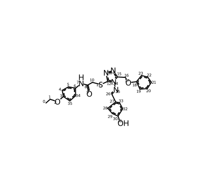 CCOc1ccc(NC(=O)CSc2nnc(COc3ccccc3)n2N=Cc2ccc(O)cc2)cc1